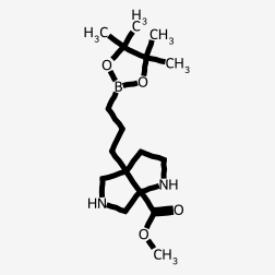 COC(=O)C12CNCC1(CCCB1OC(C)(C)C(C)(C)O1)CCN2